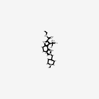 CCOC(=O)c1oc2c(c1C(F)(F)F)-c1nn(CC3CCN(C)CC3)cc1CC2